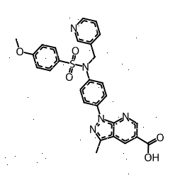 COc1ccc(S(=O)(=O)N(Cc2cccnc2)c2ccc(-n3nc(C)c4cc(C(=O)O)cnc43)cc2)cc1